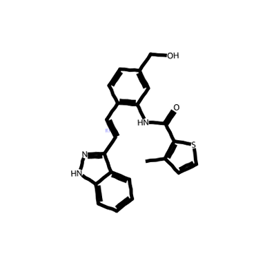 Cc1ccsc1C(=O)Nc1cc(CO)ccc1/C=C/c1n[nH]c2ccccc12